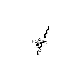 CCCCCCOC(=O)C(CC(=O)OCC)S(=O)(=O)O